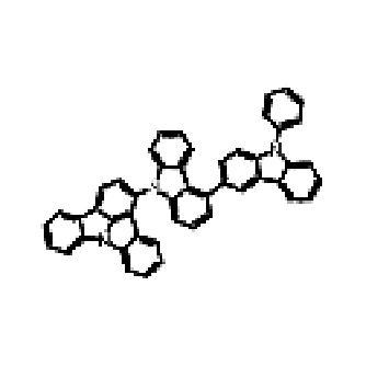 c1ccc(-n2c3ccccc3c3cc(-c4cccc5c4c4ccccc4n5-c4ccc5c6ccccc6n6c7ccccc7c4c56)ccc32)cc1